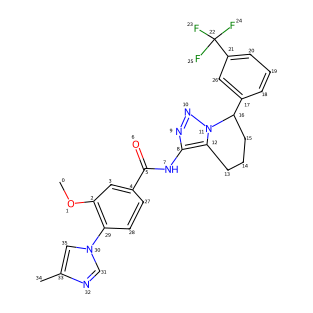 COc1cc(C(=O)Nc2nnn3c2CCCC3c2cccc(C(F)(F)F)c2)ccc1-n1cnc(C)c1